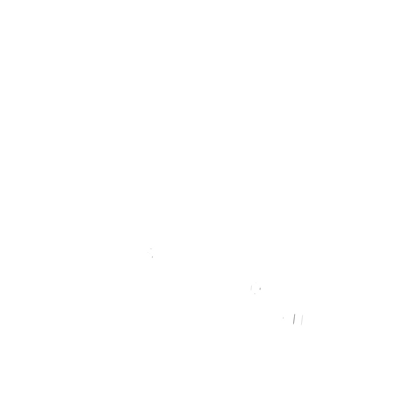 Cc1ccc(-c2c3ccccc3c(-c3cccc4c3sc3cccc(-c5c6ccccc6c(-c6ccccc6)c6ccccc56)c34)c3ccccc23)o1